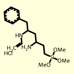 C=CNC(Cc1ccccc1)CC(N)CC[Si](OC)(OC)OC.Cl